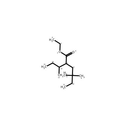 CCOC(=O)C(CC(C)(C)CC)C(C)CC